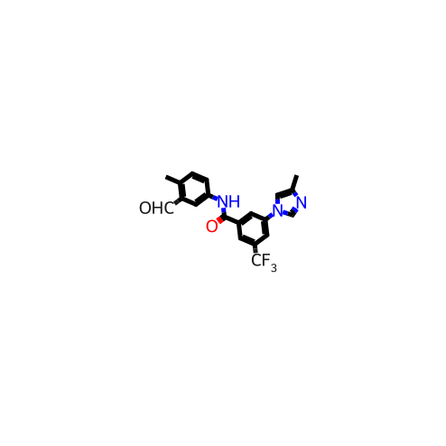 Cc1cn(-c2cc(C(=O)Nc3ccc(C)c(C=O)c3)cc(C(F)(F)F)c2)cn1